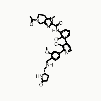 COc1cc(-c2nccc(-c3cccc(NC(=O)c4nc5c(n4C)CCN(C(C)=O)C5)c3Cl)c2Cl)ccc1CNC[C@@H]1CCC(=O)N1